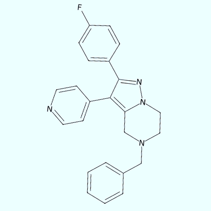 Fc1ccc(-c2nn3c(c2-c2ccncc2)CN(Cc2ccccc2)CC3)cc1